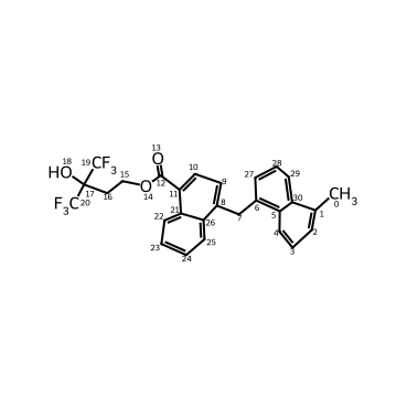 Cc1cccc2c(Cc3ccc(C(=O)OCCC(O)(C(F)(F)F)C(F)(F)F)c4ccccc34)cccc12